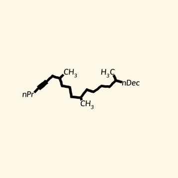 [CH2]CCC#CCC(C)CCCC(C)CCCCC(C)CCCCCCCCC[CH2]